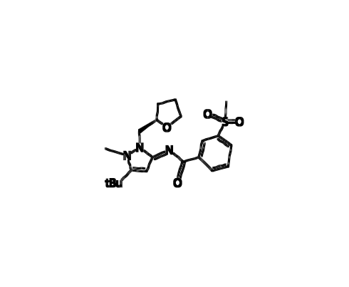 Cn1c(C(C)(C)C)cc(=NC(=O)c2cccc(S(C)(=O)=O)c2)n1C[C@H]1CCCO1